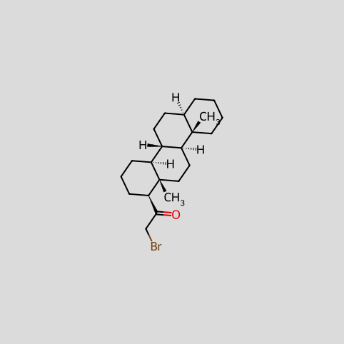 C[C@]12CCCC[C@@H]1CC[C@@H]1[C@@H]2CC[C@]2(C)[C@@H](C(=O)CBr)CCC[C@@H]12